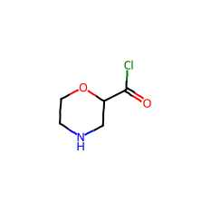 O=C(Cl)C1CNCCO1